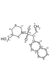 C=CC(c1ccc2ccccc2c1)S(=O)(=O)N1CCCC(C(=O)O)C1